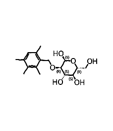 Cc1cc(C)c(CO[C@@H]2[C@@H](O)[C@H](O)[C@@H](CO)O[C@@H]2O)c(C)c1C